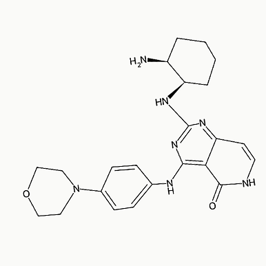 N[C@H]1CCCC[C@H]1Nc1nc(Nc2ccc(N3CCOCC3)cc2)c2c(=O)[nH]ccc2n1